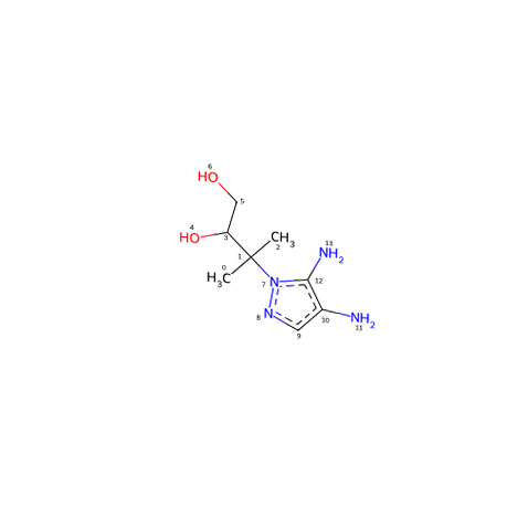 CC(C)(C(O)CO)n1ncc(N)c1N